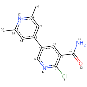 Cc1cc(-c2cnc(Cl)c(C(N)=O)c2)cc(C)n1